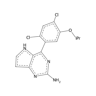 CC(C)Oc1cc(-c2nc(N)nc3cc[nH]c23)c(Cl)cc1Cl